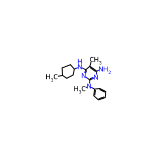 Cc1c(N)nc(N(C)c2ccccc2)nc1NC1CCC(C)CC1